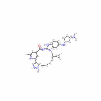 Cc1cc2cc(n1)-c1cnn(C)c1CCCCC(C1CC1)CN1/C(=N/C2=O)Nc2ccc(NC3CCC(N(C)C)C3)cc21